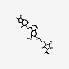 C=C(C)C1NC(=O)N(CCCOc2cc3ncnc(Oc4ccc5[nH]c(C)cc5c4F)c3cc2OC)C1=O